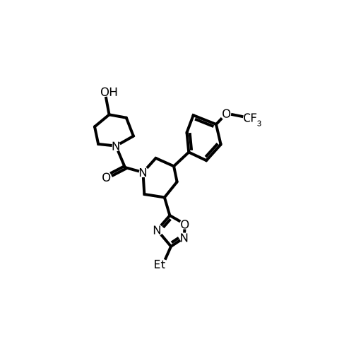 CCc1noc(C2CC(c3ccc(OC(F)(F)F)cc3)CN(C(=O)N3CCC(O)CC3)C2)n1